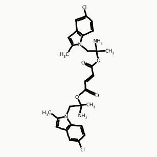 Cc1cc2cc(Cl)ccc2n1CC(C)(N)OC(=O)/C=C/C(=O)OC(C)(N)Cn1c(C)cc2cc(Cl)ccc21